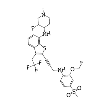 CN1CCC(Nc2cccc3c(CC(F)(F)F)c(C#CCNc4ccc(S(C)(=O)=O)cc4OCF)sc23)C(F)C1